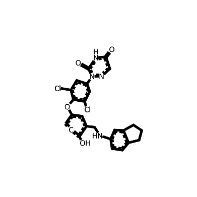 O=c1cnn(-c2cc(Cl)c(Oc3ccc(O)c(CNc4ccc5c(c4)CCC5)c3)c(Cl)c2)c(=O)[nH]1